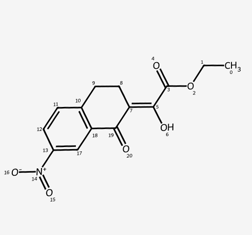 CCOC(=O)/C(O)=C1\CCc2ccc([N+](=O)[O-])cc2C1=O